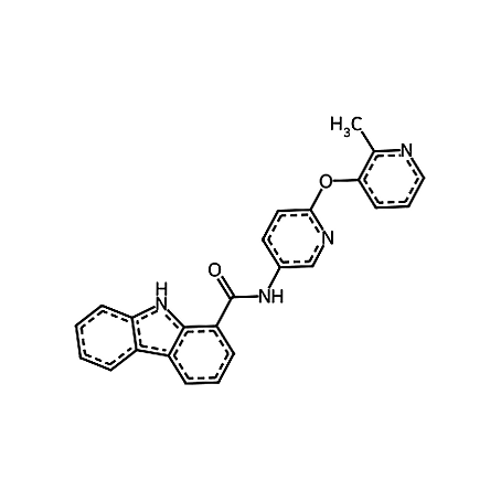 Cc1ncccc1Oc1ccc(NC(=O)c2cccc3c2[nH]c2ccccc23)cn1